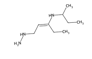 CC/C(=C\CNN)NC(C)CC